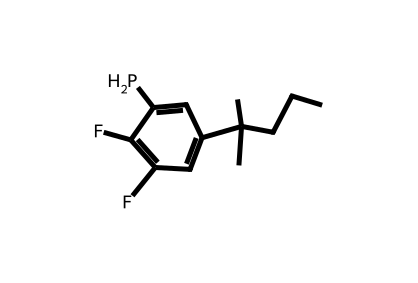 CCCC(C)(C)c1cc(F)c(F)c(P)c1